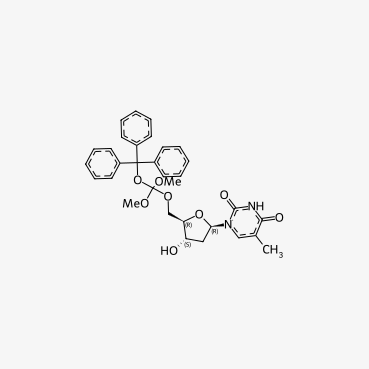 COC(OC)(OC[C@H]1O[C@@H](n2cc(C)c(=O)[nH]c2=O)C[C@@H]1O)OC(c1ccccc1)(c1ccccc1)c1ccccc1